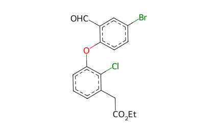 CCOC(=O)Cc1cccc(Oc2ccc(Br)cc2C=O)c1Cl